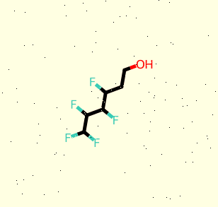 OCCC(F)C(F)C(F)C(F)F